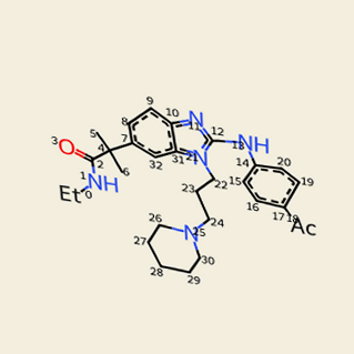 CCNC(=O)C(C)(C)c1ccc2nc(Nc3ccc(C(C)=O)cc3)n(CCCN3CCCCC3)c2c1